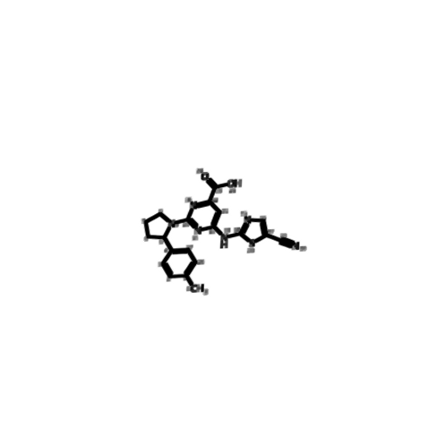 Cc1ccc(C2CCCN2c2nc(Nc3ncc(C#N)s3)cc(C(=O)O)n2)cc1